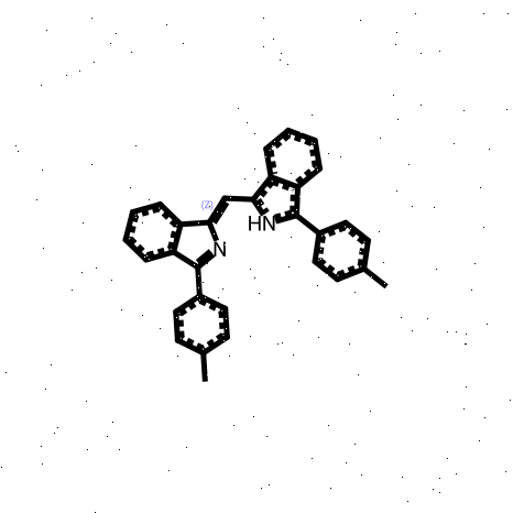 Cc1ccc(C2=N/C(=C\c3[nH]c(-c4ccc(C)cc4)c4ccccc34)c3ccccc32)cc1